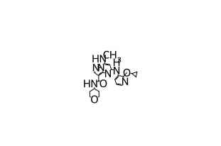 CNc1cc(Nc2cccnc2OC2CC2)nc2c(C(=O)NC3CCOCC3)cnn12